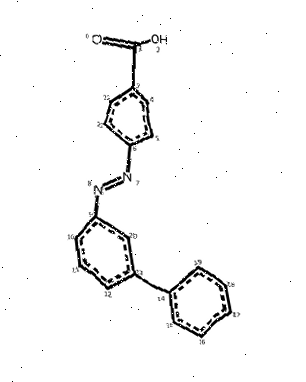 O=C(O)c1ccc(N=Nc2cccc(-c3ccccc3)c2)cc1